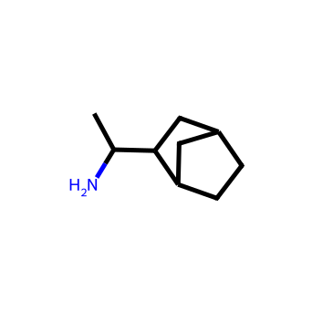 CC(N)C1CC2CCC1C2